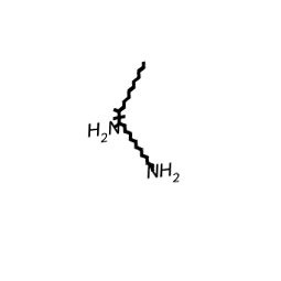 C/C=C/CC/C=C/CC/C=C(\C)C(C)(C)C(N)CCCCCCCCCCCN